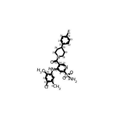 Cc1cc(Nc2cc(S(N)(=O)=O)ncc2C(=O)N2CCC(c3ccc(F)cc3)CC2)c(C)cc1Cl